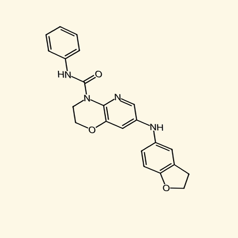 O=C(Nc1ccccc1)N1CCOc2cc(Nc3ccc4c(c3)CCO4)cnc21